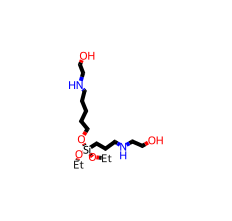 CCO[Si](CCCNCCO)(OCC)OCCCCCNCCO